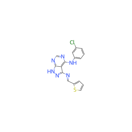 Clc1cccc(Nc2ncnc3[nH]nc(N=Cc4cccs4)c23)c1